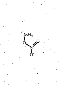 O=[N+]([O-])O[AsH2]